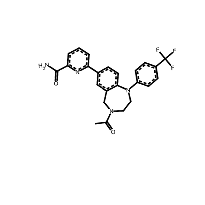 CC(=O)N1CCN(c2ccc(C(F)(F)F)cc2)c2ccc(-c3cccc(C(N)=O)n3)cc2C1